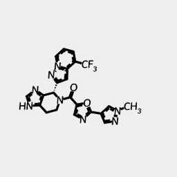 Cn1cc(-c2ncc(C(=O)N3CCc4[nH]cnc4[C@@H]3c3cc4c(C(F)(F)F)cccn4n3)o2)cn1